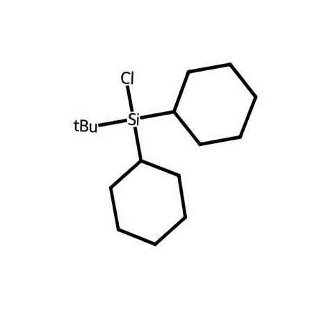 CC(C)(C)[Si](Cl)(C1CCCCC1)C1CCCCC1